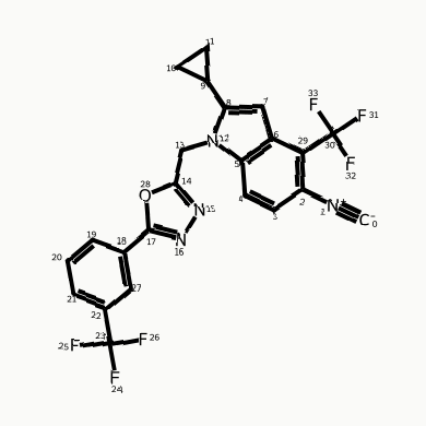 [C-]#[N+]c1ccc2c(cc(C3CC3)n2Cc2nnc(-c3cccc(C(F)(F)F)c3)o2)c1C(F)(F)F